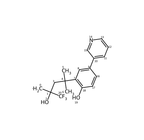 [CH2]C(O)(CC(C)(C)c1cc(-c2cccnc2)ccc1O)C(F)(F)F